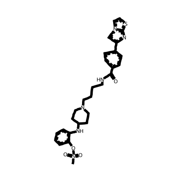 CS(=O)(=O)Oc1ccccc1NC1CCN(CCCCNC(=O)c2ccc(-c3cn4ccsc4n3)cc2)CC1